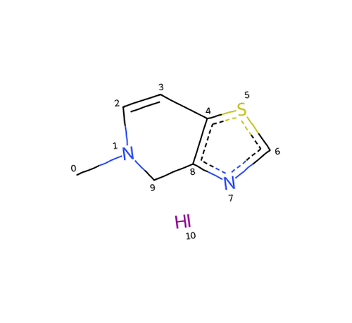 CN1C=Cc2scnc2C1.I